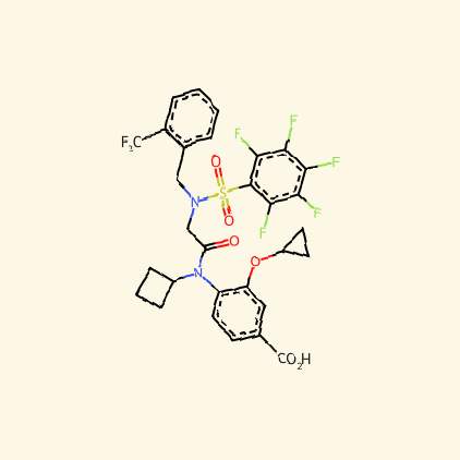 O=C(O)c1ccc(N(C(=O)CN(Cc2ccccc2C(F)(F)F)S(=O)(=O)c2c(F)c(F)c(F)c(F)c2F)C2CCC2)c(OC2CC2)c1